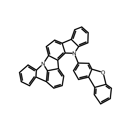 c1ccc2c(c1)oc1cc(-n3c4ccccc4c4ccc5c(c6cccc7c8ccccc8n5c76)c43)ccc12